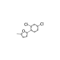 Cc1ccc(-c2ccc(Cl)cc2Cl)o1